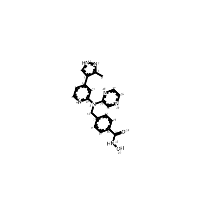 Cc1n[nH]cc1-c1ccnc(N(Cc2ccc(C(=O)NO)cc2)c2cnccn2)c1